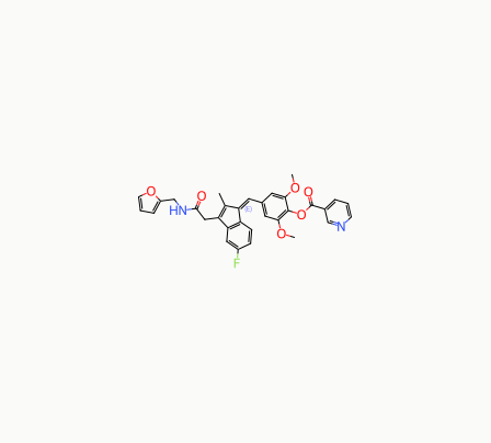 COc1cc(/C=C2/C(C)=C(CC(=O)NCc3ccco3)c3cc(F)ccc32)cc(OC)c1OC(=O)c1cccnc1